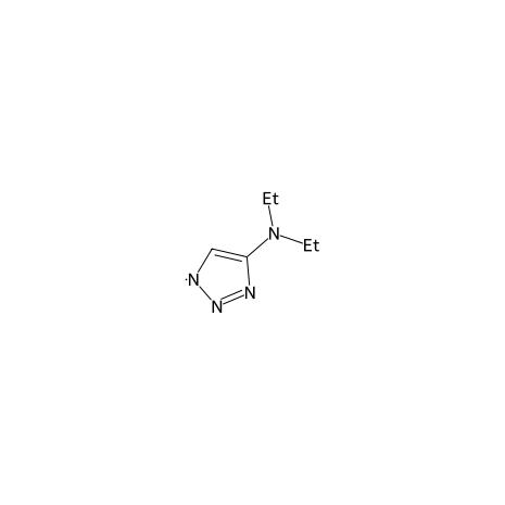 CCN(CC)C1=C[N]N=N1